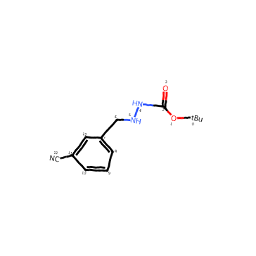 CC(C)(C)OC(=O)NNCc1cccc(C#N)c1